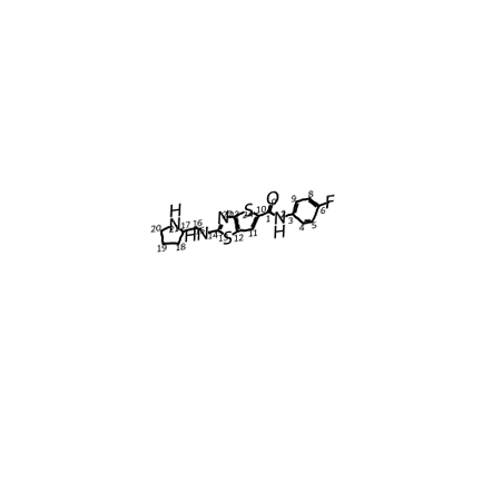 O=C(Nc1ccc(F)cc1)c1cc2sc(NCC3CCCN3)nc2s1